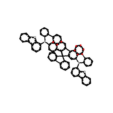 c1ccc(-c2ccccc2N(c2ccc3c4c(ccc3c2)-c2c(cc(N(c3ccccc3-c3ccccc3)c3cccc5c3oc3ccccc35)c3ccccc23)C42c3ccccc3-c3ccccc32)c2cccc3c2oc2ccccc23)cc1